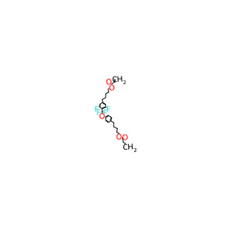 C=CCC(=O)OCCCCCc1ccc(OC(F)(F)c2c(F)cc(CCCCCOC(=O)C=C)cc2F)cc1